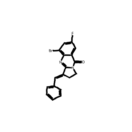 O=c1c2cc(F)cc(Br)c2nc2n1CCC2=Cc1ccccc1